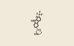 FC(F)(F)c1ccc2c(n1)[nH]c1ccc(C3CNCCO3)cc12